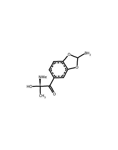 BC1Oc2ccc(C(=O)[C@](C)(O)NC)cc2O1